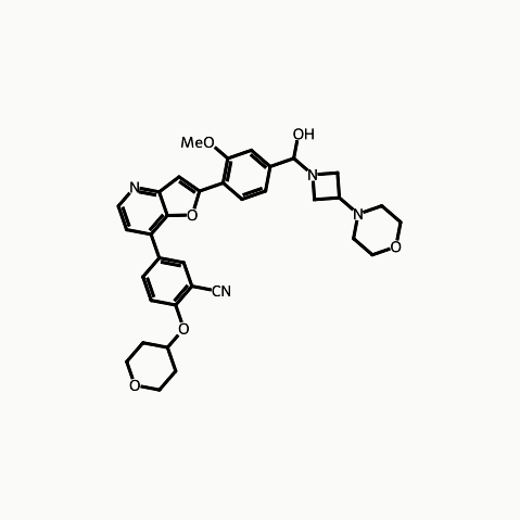 COc1cc(C(O)N2CC(N3CCOCC3)C2)ccc1-c1cc2nccc(-c3ccc(OC4CCOCC4)c(C#N)c3)c2o1